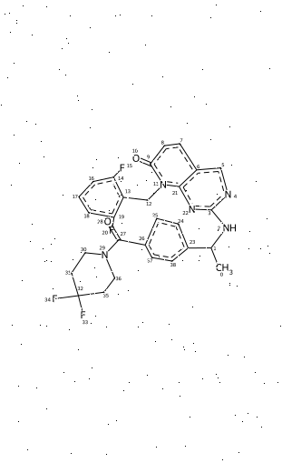 CC(Nc1ncc2ccc(=O)n(Cc3c(F)cccc3F)c2n1)c1ccc(C(=O)N2CCC(F)(F)CC2)cc1